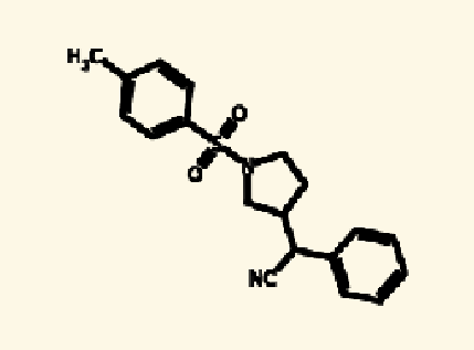 Cc1ccc(S(=O)(=O)N2CCC(C(C#N)c3ccccc3)C2)cc1